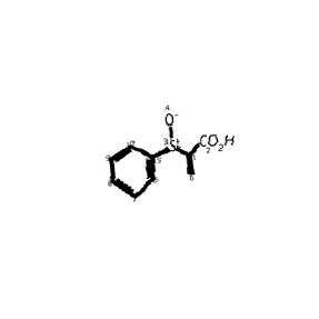 C=C(C(=O)O)[S+]([O-])c1ccccc1